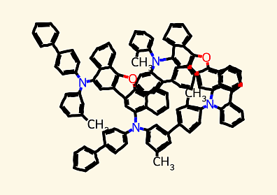 Cc1cccc(N(c2ccc(-c3ccccc3)cc2)c2cc3c4cc(N(c5ccc(-c6ccccc6)cc5)c5cc(C)cc(-c6ccc(N(c7ccccc7-c7ccccc7)c7cc8c9cc(N(c%10ccccc%10C)c%10ccccc%10-c%10ccccc%10)c%10ccccc%10c9oc8c8ccccc78)c(C)c6)c5)c5ccccc5c4oc3c3ccccc23)c1